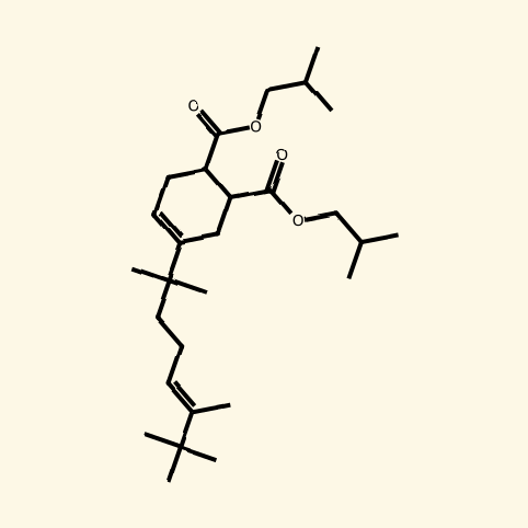 C/C(=C\CCC(C)(C)C1=CCC(C(=O)OCC(C)C)C(C(=O)OCC(C)C)C1)C(C)(C)C